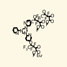 O=C(OF)C(=O)C(F)(F)C(=O)C(F)(F)F.O=C(OF)C(=O)C(F)(F)C(=O)C(F)(F)F.O=C(OF)C(=O)C(F)(F)C(=O)C(F)(F)F.[Eu].c1ccc(N2CN(c3ccccn3)CN(c3ccccn3)C2)nc1